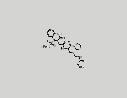 CCCCCS(=O)(=O)N1c2ccccc2NC(=O)C1CC(=O)NC(CCCNC(=O)OC(C)(C)C)C(=O)N1CCCC1